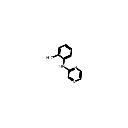 Cc1ccccc1Nc1cnccn1